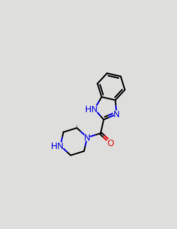 O=C(c1nc2ccccc2[nH]1)N1[CH]CNCC1